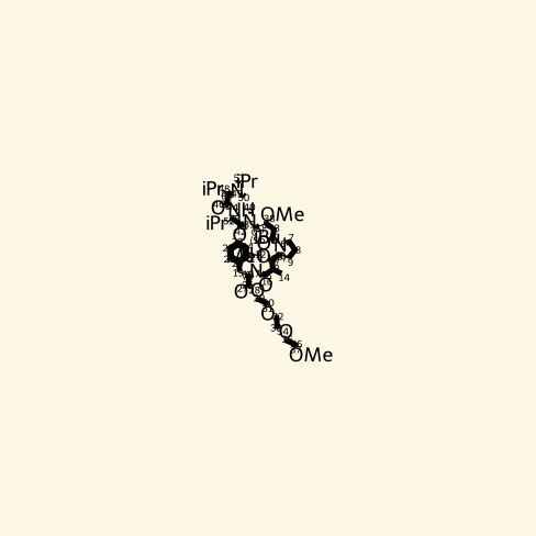 CC[C@H](C)[C@@H](C(CC(=O)N1CCC[C@H]1[C@H](OC)C(C)C(=O)N[C@@H](Cc1ccccc1)C(=O)OCCOCCOCCOC)OC)N(C)C(=O)[C@@H](NC(=O)[C@H](C(C)C)N(C)C(C)C)C(C)C